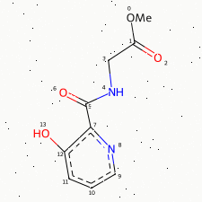 COC(=O)CNC(=O)c1ncccc1O